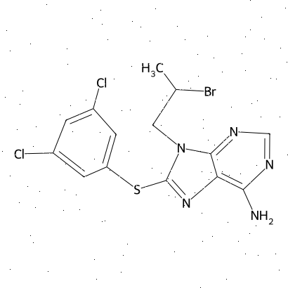 CC(Br)Cn1c(Sc2cc(Cl)cc(Cl)c2)nc2c(N)ncnc21